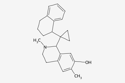 Cc1cc2c(cc1O)C(C1(C3CCCc4ccccc43)CC1)N(C)CC2